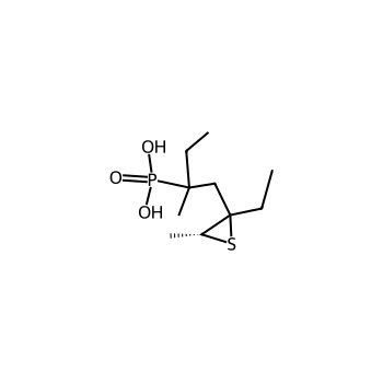 CCC1(CC(C)(CC)P(=O)(O)O)S[C@@H]1C